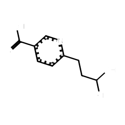 CC(C)CCc1ccc(C(=O)O)cn1